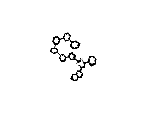 c1ccc(-c2cccc(-c3cccc(-c4cccc(-c5cccc(-c6cccc(-c7nc(-c8ccccc8)cc(-c8ccc9ccccc9c8)n7)c6)c5)c4)c3)c2)cc1